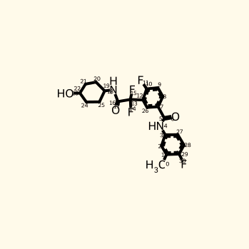 Cc1cc(NC(=O)c2ccc(F)c(C(F)(F)C(=O)NC3CCC(O)CC3)c2)ccc1F